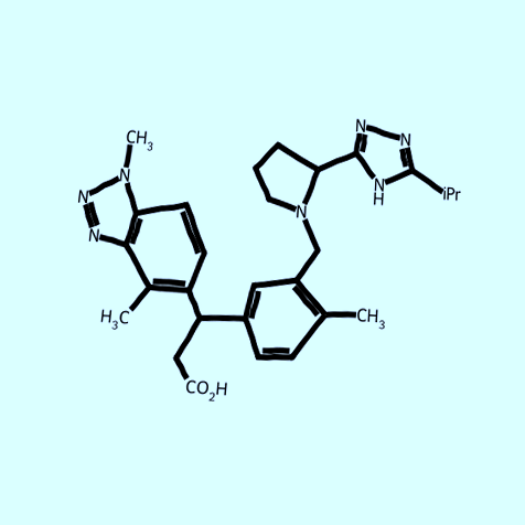 Cc1ccc(C(CC(=O)O)c2ccc3c(nnn3C)c2C)cc1CN1CCCC1c1nnc(C(C)C)[nH]1